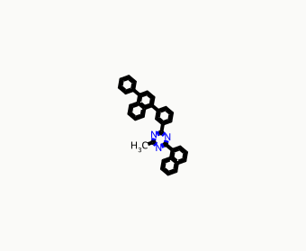 Cc1nc(-c2cccc(-c3ccc(-c4ccccc4)c4ccccc34)c2)nc(-c2cccc3ccccc23)n1